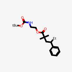 CCC(CC(C)(C)C(=O)OCCNC(=O)OC(C)(C)C)c1ccccc1